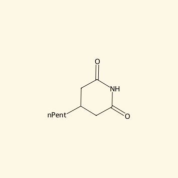 CCCCCC1CC(=O)NC(=O)C1